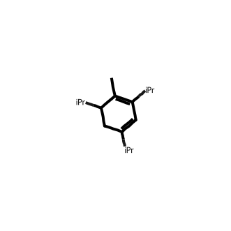 CC1=C(C(C)C)C=C(C(C)C)CC1C(C)C